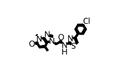 Cc1cc(=O)n(C)c2ncn(CC(=O)Nc3nc(-c4ccc(Cl)cc4)cs3)c12